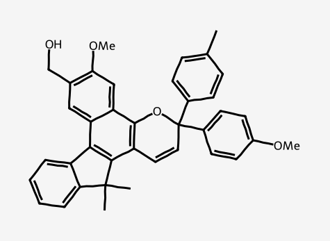 COc1ccc(C2(c3ccc(C)cc3)C=Cc3c4c(c5cc(CO)c(OC)cc5c3O2)-c2ccccc2C4(C)C)cc1